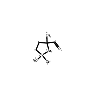 CC1(C=O)CCS(O)(O)N1